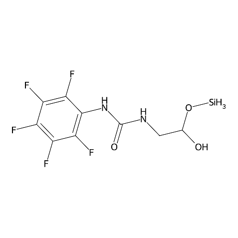 O=C(NCC(O)O[SiH3])Nc1c(F)c(F)c(F)c(F)c1F